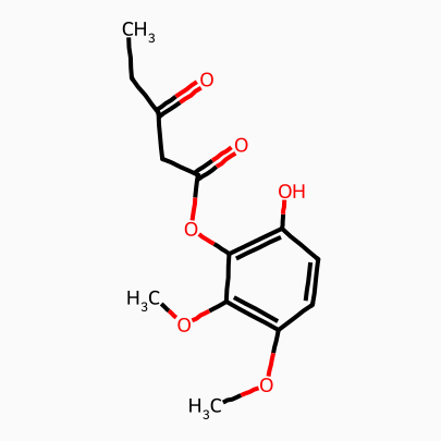 CCC(=O)CC(=O)Oc1c(O)ccc(OC)c1OC